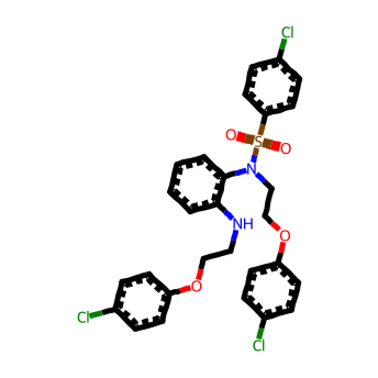 O=S(=O)(c1ccc(Cl)cc1)N(CCOc1ccc(Cl)cc1)c1ccccc1NCCOc1ccc(Cl)cc1